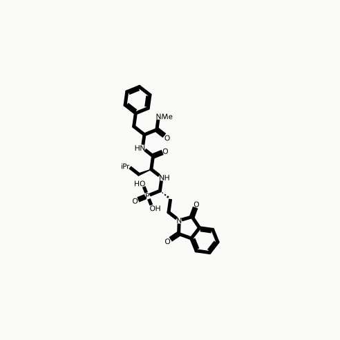 CNC(=O)C(Cc1ccccc1)NC(=O)[C@H](CC(C)C)N[C@H](CCN1C(=O)c2ccccc2C1=O)P(=O)(O)O